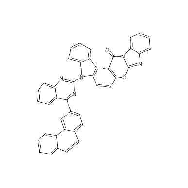 O=c1c2c(ccc3c2c2ccccc2n3-c2nc(-c3ccc4ccc5ccccc5c4c3)c3ccccc3n2)oc2nc3ccccc3n12